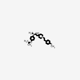 CSc1ccc(CCN2CCC(O)(CCN(C)c3ccc(OC(C)C)cc3)CC2)cc1